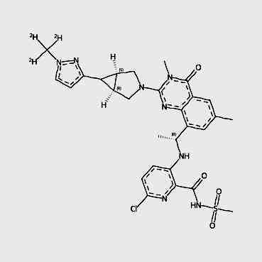 [2H]C([2H])([2H])n1ccc(C2[C@H]3CN(c4nc5c([C@@H](C)Nc6ccc(Cl)nc6C(=O)NS(C)(=O)=O)cc(C)cc5c(=O)n4C)C[C@@H]23)n1